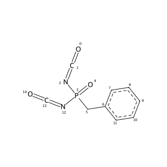 O=C=NP(=O)(Cc1ccccc1)N=C=O